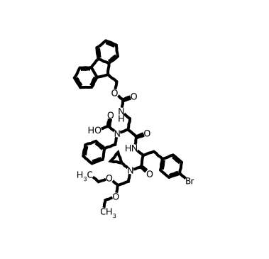 CCOC(CN(C(=O)C(Cc1ccc(Br)cc1)NC(=O)C(CNC(=O)OCC1c2ccccc2-c2ccccc21)N(Cc1ccccc1)C(=O)O)C1CC1)OCC